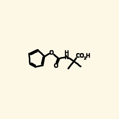 CC(C)(NC(=O)Oc1ccccc1)C(=O)O